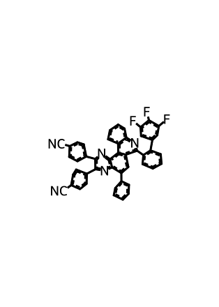 N#Cc1ccc(-c2nc3c(-c4ccccc4)cc4c(-c5ccccc5-c5cc(F)c(F)c(F)c5)nc5ccccc5c4c3nc2-c2ccc(C#N)cc2)cc1